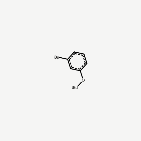 CCC(C)c1cccc(OC(C)(C)C)c1